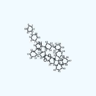 c1ccc(-c2ccc(-c3cc(-c4ccccc4-c4ccc5c(c4)Oc4ccc6c(c4O5)-c4ccccc4C6(c4ccccc4)c4ccccc4)nc(-c4ccc(-c5ccccc5)cc4)n3)cc2)cc1